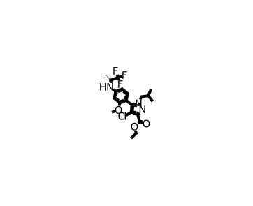 CCOC(=O)c1nn(CC(C)C)c(-c2ccc(N[C@H](C)C(F)(F)F)cc2OC)c1Cl